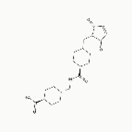 O=C1C=CC(=O)N1C[C@H]1CC[C@H](C(=O)NC[C@H]2CC[C@H](C(=O)O)CC2)CC1